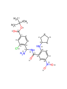 CC(C)(C)OC(=O)c1ccc(C(N)NC(=O)c2cc([N+](=O)[O-])ccc2NC2CCCC2)c(Cl)c1